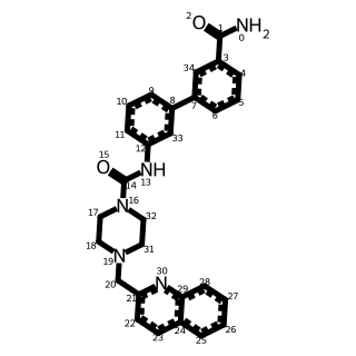 NC(=O)c1cccc(-c2cccc(NC(=O)N3CCN(Cc4ccc5ccccc5n4)CC3)c2)c1